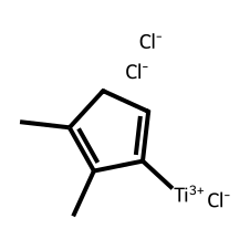 CC1=C(C)[C]([Ti+3])=CC1.[Cl-].[Cl-].[Cl-]